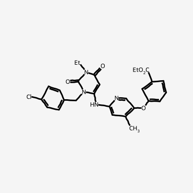 CCOC(=O)c1cccc(Oc2cnc(Nc3cc(=O)n(CC)c(=O)n3Cc3ccc(Cl)cc3)cc2C)c1